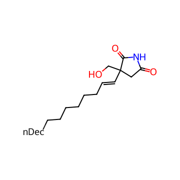 CCCCCCCCCCCCCCCCC=CC1(CO)CC(=O)NC1=O